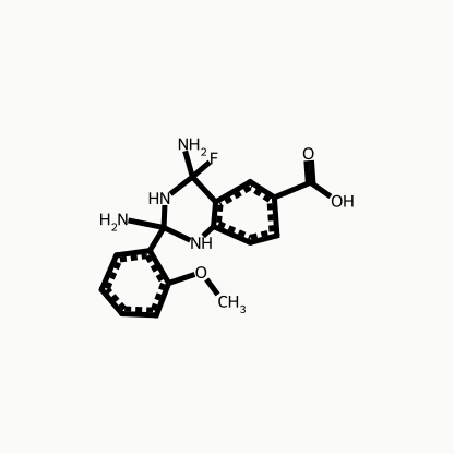 COc1ccccc1C1(N)Nc2ccc(C(=O)O)cc2C(N)(F)N1